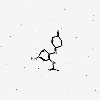 CC(=O)Nc1cc(N)ccc1N=C1C=CC(=O)C=C1